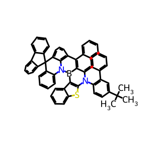 CC(C)(C)c1ccc(N2c3cc4ccccc4c4c3B(c3c2sc2ccccc32)N2c3ccccc3C3(c5ccccc5-c5ccccc53)c3cccc-4c32)c(-c2ccccc2)c1